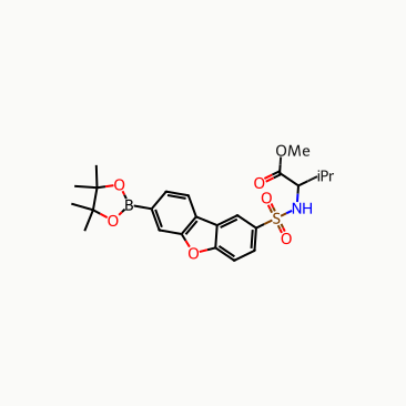 COC(=O)C(NS(=O)(=O)c1ccc2oc3cc(B4OC(C)(C)C(C)(C)O4)ccc3c2c1)C(C)C